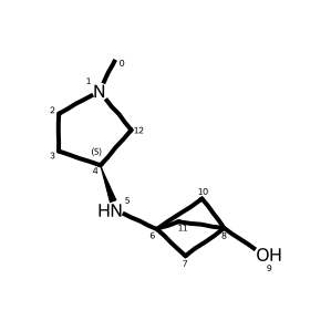 CN1CC[C@H](NC23CC(O)(C2)C3)C1